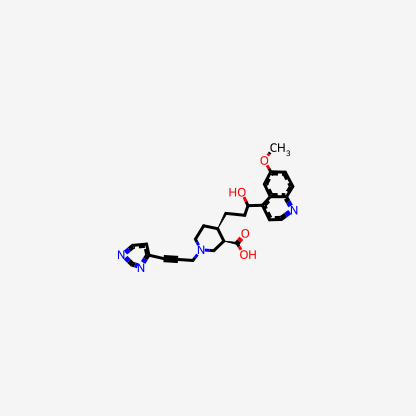 COc1ccc2nccc(C(O)CC[C@@H]3CCN(CC#Cc4ccncn4)C[C@@H]3C(=O)O)c2c1